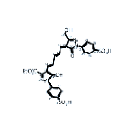 CCOC(=O)c1nn(-c2ccc(S(=O)(=O)O)cc2)c(O)c1C=CC=C/C=C1\C(=O)N(c2ccc(S(=O)(=O)O)cc2)N=C1CO